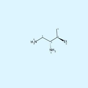 CC[C@H](C)[C@H](N)CN